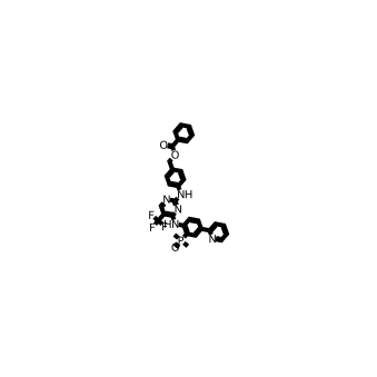 CP(C)(=O)c1cc(-c2ccccn2)ccc1Nc1nc(Nc2ccc(COC(=O)c3ccccc3)cc2)ncc1C(F)(F)F